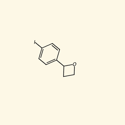 Ic1ccc(C2CCO2)cc1